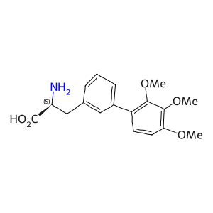 COc1ccc(-c2cccc(C[C@H](N)C(=O)O)c2)c(OC)c1OC